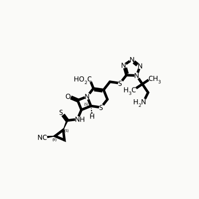 CC(C)(CN)n1nnnc1SCC1=C(C(=O)O)N2C(=O)C(NC(=S)[C@H]3C[C@H]3C#N)[C@@H]2SC1